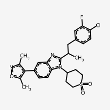 Cc1noc(C)c1-c1ccc2c(c1)nc(C(C)Cc1ccc(Cl)c(F)c1)n2C1CCS(=O)(=O)CC1